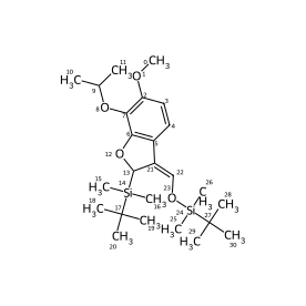 COc1ccc2c(c1OC(C)C)OC([Si](C)(C)C(C)(C)C)C2=CO[Si](C)(C)C(C)(C)C